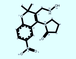 CC1(C)Oc2ccc([N+](=O)[O-])cc2C(N2CCCC2=O)=C1CNO